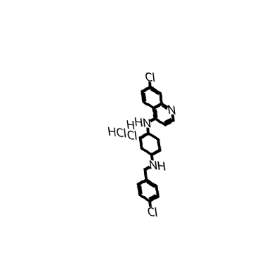 Cl.Cl.Clc1ccc(CNC2CCC(Nc3ccnc4cc(Cl)ccc34)CC2)cc1